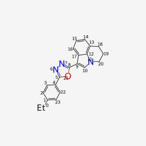 CCc1ccc(-c2nnc(-c3cn4c5c(cccc35)CCC4)o2)cc1